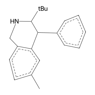 Cc1ccc2c(c1)C(c1ccccc1)C(C(C)(C)C)NC2